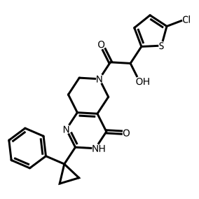 O=C(C(O)c1ccc(Cl)s1)N1CCc2nc(C3(c4ccccc4)CC3)[nH]c(=O)c2C1